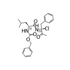 CC(=O)[C@@](Cl)(Cc1ccccc1)NC(=O)[C@H](CC(C)C)NC(=O)OCc1ccccc1